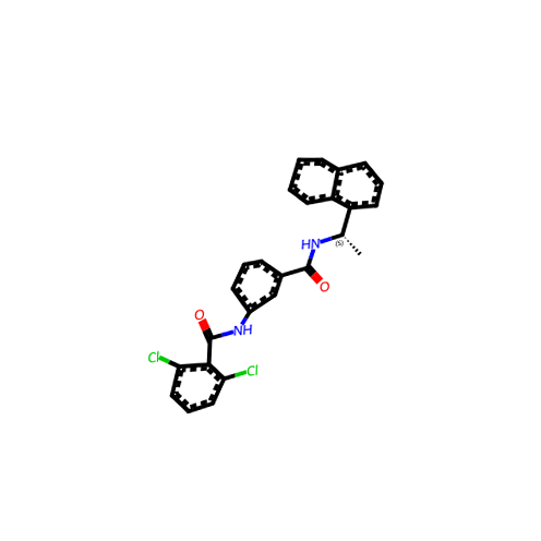 C[C@H](NC(=O)c1cccc(NC(=O)c2c(Cl)cccc2Cl)c1)c1cccc2ccccc12